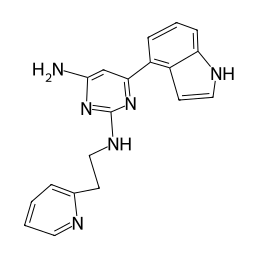 Nc1cc(-c2cccc3[nH]ccc23)nc(NCCc2ccccn2)n1